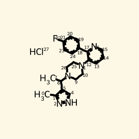 Cc1n[nH]cc1C(C)N1CCN(c2cccnc2-c2ccc(F)cc2)CC1.Cl